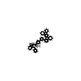 C1=C2C(=CCC1)C1(CCCCC1)c1cc3c(cc12)C1(CCCCC1)c1cccc(-c2cccc(-c4ccc(C5Nc6oc7c(c6C(c6ccccc6)N5)=CCCC=7)cc4)c2)c1-3